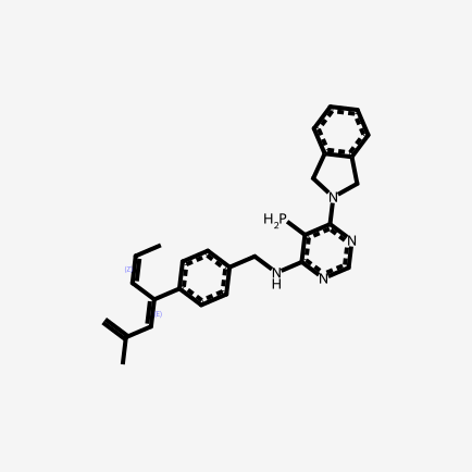 C=C(C)/C=C(\C=C/C)c1ccc(CNc2ncnc(N3Cc4ccccc4C3)c2P)cc1